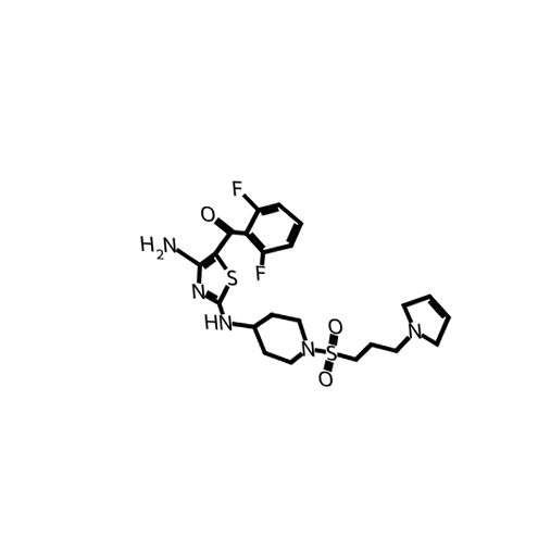 Nc1nc(NC2CCN(S(=O)(=O)CCCN3CC=CC3)CC2)sc1C(=O)c1c(F)cccc1F